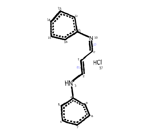 C(/C=C/Nc1ccccc1)=N/c1ccccc1.Cl